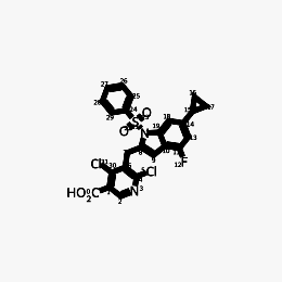 O=C(O)c1cnc(Cl)c(Cc2cc3c(F)cc(C4CC4)cc3n2S(=O)(=O)c2ccccc2)c1Cl